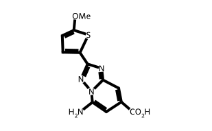 COc1ccc(-c2nc3cc(C(=O)O)cc(N)n3n2)s1